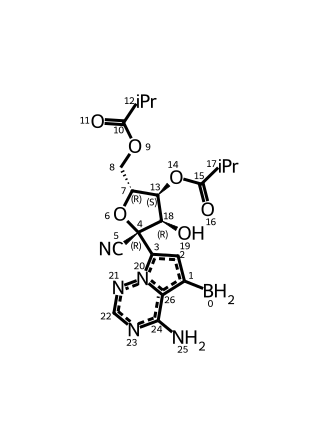 Bc1cc([C@]2(C#N)O[C@H](COC(=O)C(C)C)[C@@H](OC(=O)C(C)C)[C@H]2O)n2ncnc(N)c12